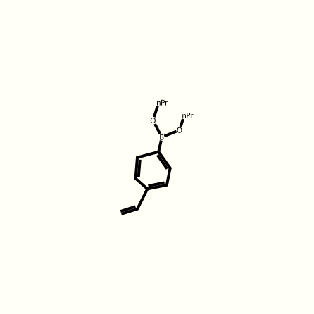 C=Cc1ccc(B(OCCC)OCCC)cc1